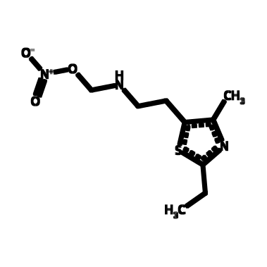 CCc1nc(C)c(CCNCO[N+](=O)[O-])s1